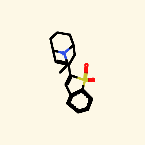 CCN1C2C=C(C3=Cc4ccccc4S3(=O)=O)CC1CCC2